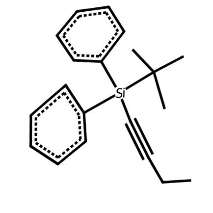 CCC#C[Si](c1ccccc1)(c1ccccc1)C(C)(C)C